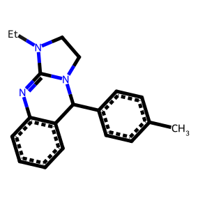 CCN1CCN2C1=Nc1ccccc1C2c1ccc(C)cc1